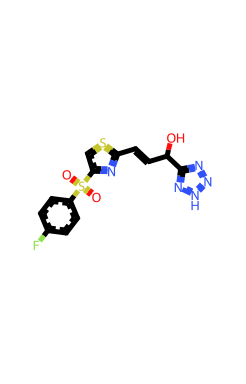 O=S(=O)(c1ccc(F)cc1)c1csc(C=CC(O)c2nn[nH]n2)n1